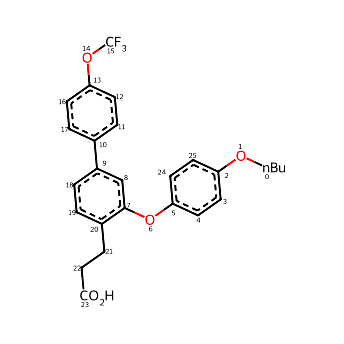 CCCCOc1ccc(Oc2cc(-c3ccc(OC(F)(F)F)cc3)ccc2CCC(=O)O)cc1